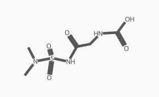 CN(C)S(=O)(=O)NC(=O)CNC(=O)O